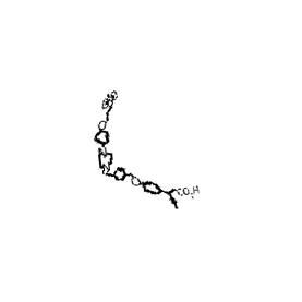 CC#CC(CC(=O)O)c1ccc(OCc2ccc(CN3CCN(c4ccc(OCCCS(C)(=O)=O)cc4)CC3)cc2)cc1